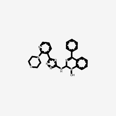 ON1c2ccccc2C(c2ccccc2)=NC1Nc1nnc(-c2cccnc2N2CCOCC2)o1